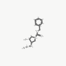 [N-]=[N+]=NC1CN(C(=O)OCc2ccccc2)C[C@H]1F